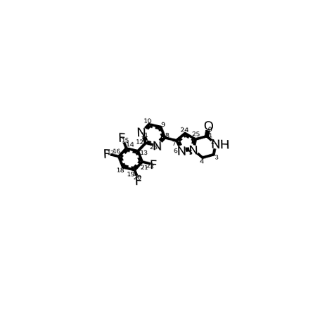 O=C1NCCn2nc(-c3ccnc(-c4c(F)c(F)cc(F)c4F)n3)cc21